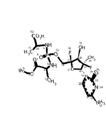 CC(C)OC(=O)C(C)NP(=O)(NC(C)C(=O)O)OC[C@@]1(F)O[C@@H](n2ccc(N)nc2=O)[C@](C)(F)[C@@H]1O